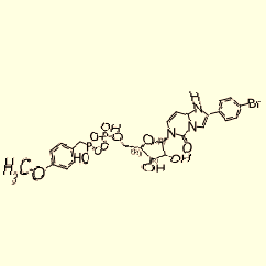 COc1ccc(CP(=O)(O)OP(=O)(O)OC[C@H]2O[C@@H](N3C=CC4NC(c5ccc(Br)cc5)=CN4C3=O)C(O)[C@H]2O)cc1